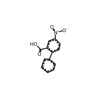 O=C(O)c1cc([N+](=O)[O-])ccc1-c1ccccc1